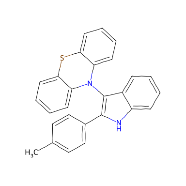 Cc1ccc(-c2[nH]c3ccccc3c2N2c3ccccc3Sc3ccccc32)cc1